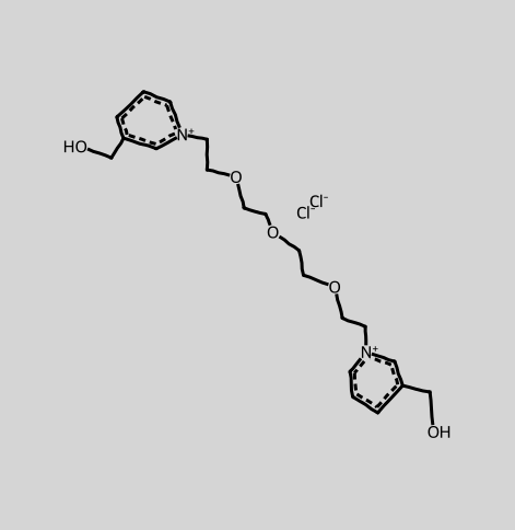 OCc1ccc[n+](CCOCCOCCOCC[n+]2cccc(CO)c2)c1.[Cl-].[Cl-]